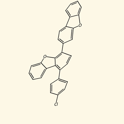 Clc1ccc(-c2ccc(-c3ccc4c(c3)oc3ccccc34)c3oc4ccccc4c23)cc1